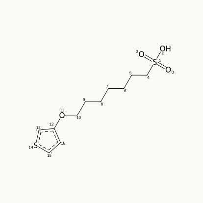 O=S(=O)(O)CCCCCCCOc1[c]s[c]c1